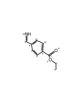 CCOC(=O)c1ccc(C=N)cc1